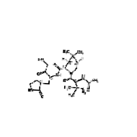 CC(=O)N[C@H](C(=O)N1C[C@H]2[C@@H]([C@H]1C(=O)N[C@@H](C[C@@H]1CCNC1=O)C(=O)CO)C2(C)C)C(C)(C)C